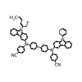 C/C=C\C=C(/CF)n1c2ccccc2c2cc(N(c3ccc(C#N)cc3)c3ccc(-c4ccc(N(c5ccc(C#N)cc5)c5ccc6c(c5)c5ccccc5n6C5=CC=CCC5)cc4)cc3)ccc21